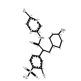 CS(=O)(=O)c1ccc(C(CC2CCC(O)CC2)C(=O)Nc2cnc(Cl)cn2)cc1Cl